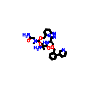 CN(CC(N)=O)C(=O)OCc1cccc2nnc([C@@H](COCc3ccccc3-c3cccnc3)NC(=O)C(C)(C)N)n12